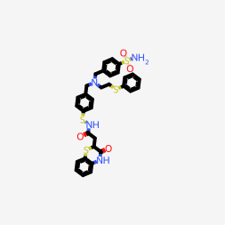 NS(=O)(=O)c1ccc(CN(CCSc2ccccc2)Cc2ccc(SNC(=O)CC3Sc4ccccc4NC3=O)cc2)cc1